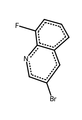 Fc1cccc2cc(Br)cnc12